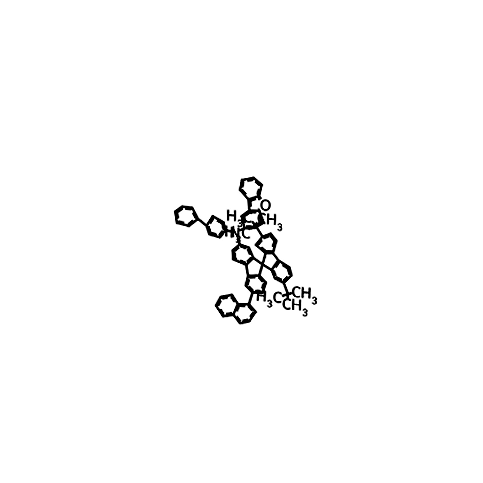 CC(C)(C)c1ccc2c(c1)C1(c3ccc(-c4cccc5ccccc45)cc3-c3ccc(N(c4ccc(-c5ccccc5)cc4)c4ccc5oc6ccccc6c5c4)cc31)c1cc(C(C)(C)C)ccc1-2